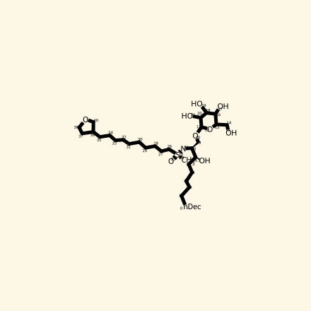 CCCCCCCCCCCCCCC[C@@H](O)[C@H](COC1OC(CO)C(O)C(O)C1O)N=S(C)(=O)CCCCCCCCCCC1CCOC1